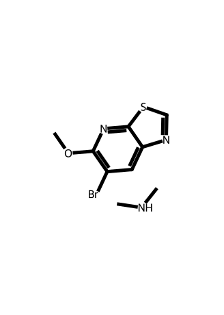 CNC.COc1nc2scnc2cc1Br